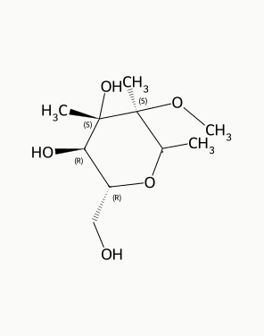 CO[C@@]1(C)[C](C)O[C@H](CO)[C@@H](O)[C@]1(C)O